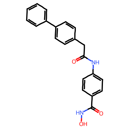 O=C(Cc1ccc(-c2ccccc2)cc1)Nc1ccc(C(=O)NO)cc1